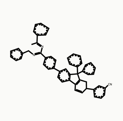 C/C(=N\C(=N/Cc1ccccc1)c1ccc(-c2ccc3c(c2)C(c2ccccc2)(c2ccccc2)C2=C3C=CC(c3cccc(C#N)c3)C2)cc1)c1ccccc1